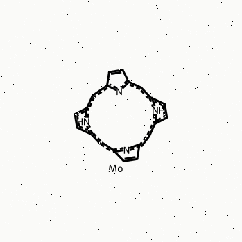 C1=Cc2cc3ccc(cc4nc(cc5ccc(cc1n2)[nH]5)C=C4)[nH]3.[Mo]